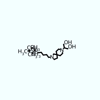 CC(C)(C)[Si](C)(C)OCCCCCN1CCC2(CCN(C(CO)CO)CC2)C1